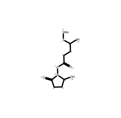 CSSC(CCC(=O)ON1C(=O)CCC1O)C(C)C